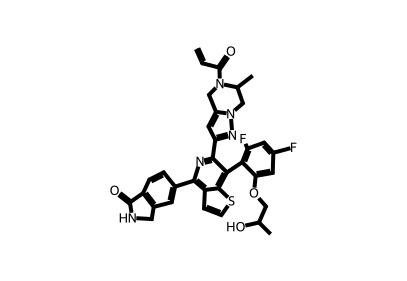 C=CC(=O)N1Cc2cc(-c3nc(-c4ccc5c(c4)CNC5=O)c4ccsc4c3-c3c(F)cc(F)cc3OCC(C)O)nn2CC1C